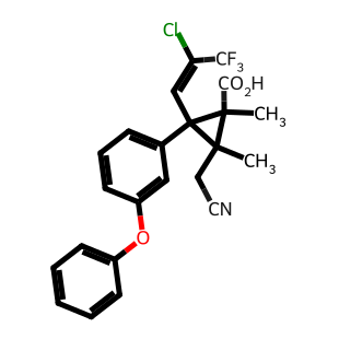 CC1(CC#N)C(C)(C(=O)O)C1(C=C(Cl)C(F)(F)F)c1cccc(Oc2ccccc2)c1